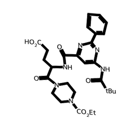 CCOC(=O)N1CCN(C(=O)C(CCC(=O)O)NC(=O)c2cc(NC(=O)C(C)(C)C)nc(-c3ccccc3)n2)CC1